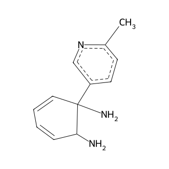 Cc1ccc(C2(N)C=CC=CC2N)cn1